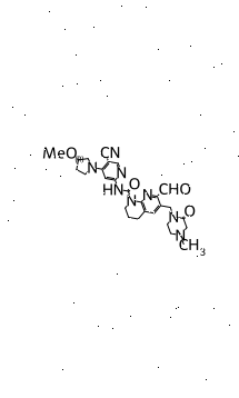 CO[C@@H]1CCN(c2cc(NC(=O)N3CCCc4cc(CN5CCN(C)CC5=O)c(C=O)nc43)ncc2C#N)C1